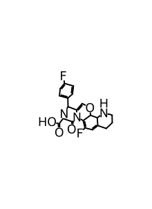 O=C(O)C1=NC(c2ccc(F)cc2)C2=COC3C(=C(F)C=C4CCCNC43)N2C1=O